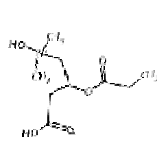 CCC(=O)OC(CC(=O)O)C[N+](C)(C)O